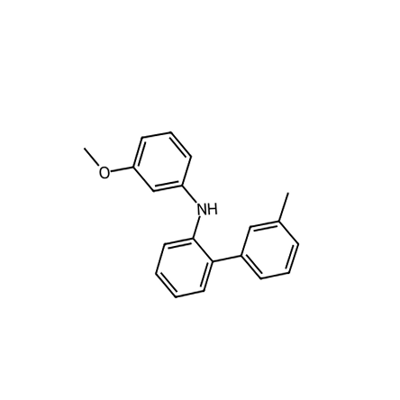 COc1cccc(Nc2ccccc2-c2cccc(C)c2)c1